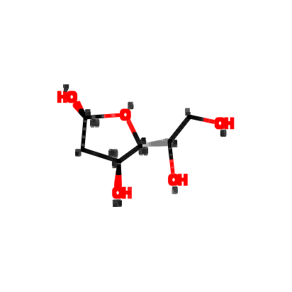 OCC(O)[C@H]1O[C@H](O)C[C@@H]1O